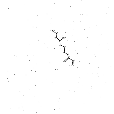 O=NC(=O)CCCCC(S)CCS